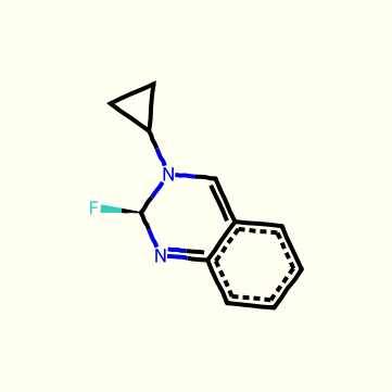 F[C@@H]1N=c2ccccc2=CN1C1CC1